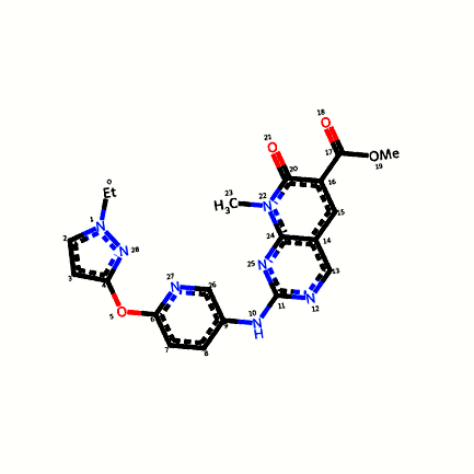 CCn1ccc(Oc2ccc(Nc3ncc4cc(C(=O)OC)c(=O)n(C)c4n3)cn2)n1